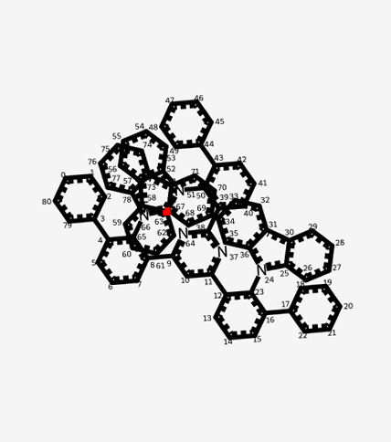 c1ccc(-c2cccc(-c3cc(-c4cccc(-c5ccccc5)c4-n4c5ccccc5c5ccccc54)nc(-c4cccc(-c5ccccc5)c4-n4c5ccccc5c5ccccc54)n3)c2-n2c3ccccc3c3ccccc32)cc1